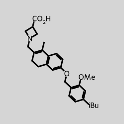 CCC(C)c1ccc(COc2ccc3c(c2)CCC(CN2CC(C(=O)O)C2)=C3C)c(OC)c1